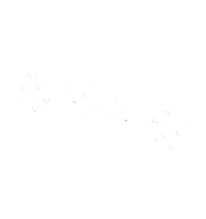 CC(C)OP(=O)(O)O[C@@H]1C(O)[C@H](n2cnc3c(=O)[nH]c(N)nc32)O[C@@H]1COP(=O)(O)OP(=O)(O)OP(=O)(O)OC[C@H]1O[C@@H](n2c[n+](C)c3c(O)nc(N)nc32)C(O)C1O